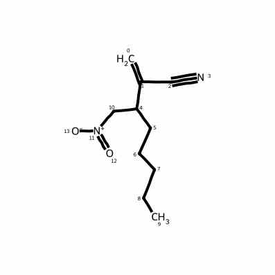 C=C(C#N)C(CCCCC)C[N+](=O)[O-]